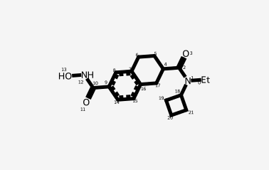 CCN(C(=O)C1CCc2cc(C(=O)NO)ccc2C1)C1CCC1